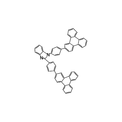 c1ccc2c(c1)nc(-c1ccc(-c3ccc4c5ccccc5c5ccccc5c4c3)cc1)n2-c1ccc(-c2ccc3c4ccccc4c4ccccc4c3c2)cc1